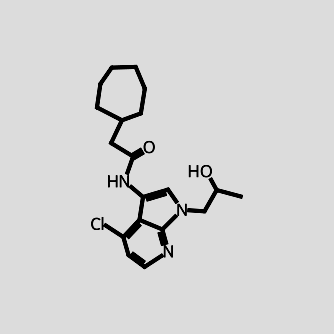 CC(O)Cn1cc(NC(=O)CC2CCCCCC2)c2c(Cl)ccnc21